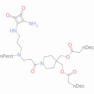 CCCCCCCCCCCC(=O)OCC1(COC(=O)CCCCCCCCCCC)CCN(C(=O)CCN(CCCCC)CCCNc2c(N)c(=O)c2=O)CC1